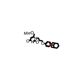 COCc1cc(=O)nc2n1CC(COc1ccc(C3C4CCCC3CCC4)cc1)O2